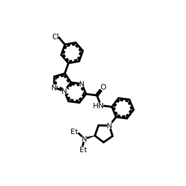 CCN(CC)[C@@H]1CCN(c2ccccc2NC(=O)c2ccn3ncc(-c4cccc(Cl)c4)c3n2)C1